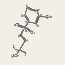 CC(C)(O)CCS(=O)(=O)c1cccc(F)c1